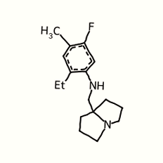 CCc1cc(C)c(F)cc1NCC12CCCN1CCC2